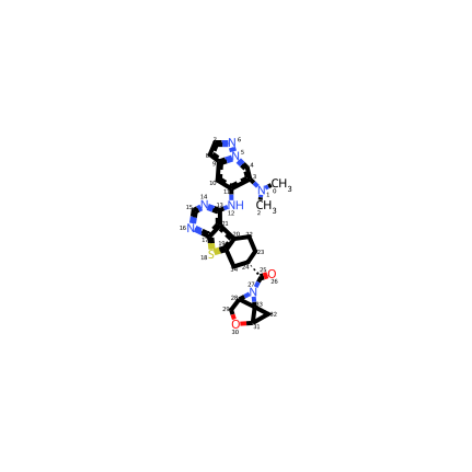 CN(C)c1cn2nccc2cc1Nc1ncnc2sc3c(c12)CC[C@H](C(=O)N1C2COC4CC421)C3